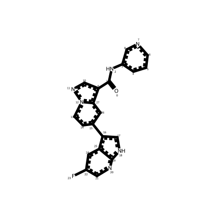 O=C(Nc1cccnc1)c1cnn2ccc(-c3c[nH]c4ncc(F)cc34)cc12